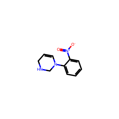 O=[N+]([O-])c1ccccc1N1C=CCNC1